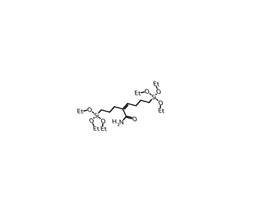 CCO[Si](CCCC=C(CCC[Si](OCC)(OCC)OCC)C(N)=O)(OCC)OCC